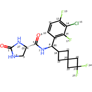 O=C1NC[C@@H](C(=O)N[C@@H](c2ccc(F)c(Cl)c2F)C2CC3(C2)CC(F)(F)C3)N1